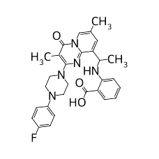 Cc1cc(C(C)Nc2ccccc2C(=O)O)c2nc(N3CCN(c4ccc(F)cc4)CC3)c(C)c(=O)n2c1